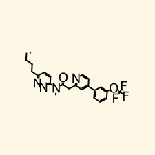 [CH2]CCCc1ccc(N(C)C(=O)Cc2cc(-c3cccc(OC(F)(F)F)c3)ccn2)nn1